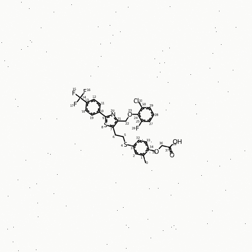 Cc1cc(SCCc2sc(-c3ccc(C(F)(F)F)cc3)nc2COc2c(F)cccc2Cl)ccc1OCC(=O)O